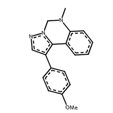 COc1ccc(-c2cnn3c2-c2ccccc2N(C)C3)cc1